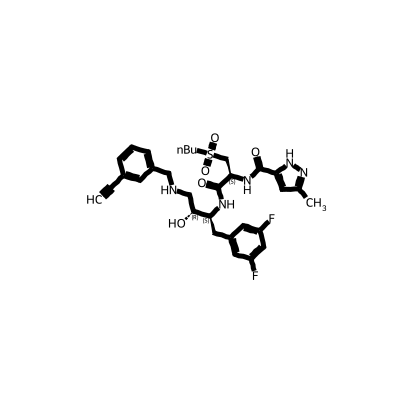 C#Cc1cccc(CNC[C@@H](O)[C@H](Cc2cc(F)cc(F)c2)NC(=O)[C@@H](CS(=O)(=O)CCCC)NC(=O)c2cc(C)n[nH]2)c1